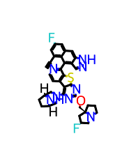 C#Cc1cc(F)cc2cc3[nH]ncc3c(-c3nccc4c3sc3nc(OC[C@@]56CCCN5C[C@H](F)C6)nc(N5C[C@H]6CC[C@@H](C5)N6)c34)c12